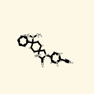 CN(C)C1(c2ccccc2)CCC2(CC1)CN(c1cnc(C#N)nc1)C(=O)N2